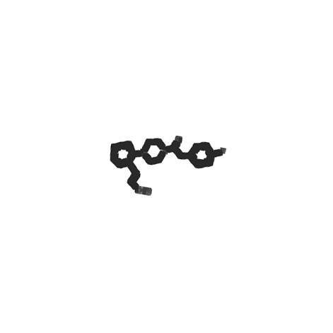 O=C/C=C/c1ccccc1N1CCN(C(=O)Cc2ccc(F)cc2)CC1